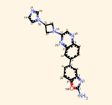 Nc1nc2cc(-c3ccc4ncc(N5CC(n6ccnc6)C5)nc4c3)ccc2o1